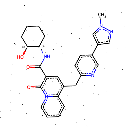 Cn1cc(-c2ccc(Cc3cc(C(=O)N[C@H]4CCCC[C@@H]4O)c(=O)n4ccccc34)nc2)cn1